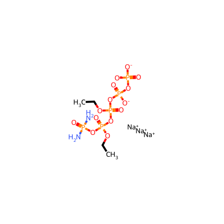 CCOP(=O)(OP(N)(N)=O)OP(=O)(OCC)OP(=O)([O-])OP(=O)([O-])[O-].[Na+].[Na+].[Na+]